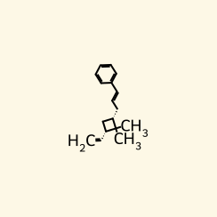 C=C[C@@H]1C[C@H](CC=Cc2ccccc2)C1(C)C